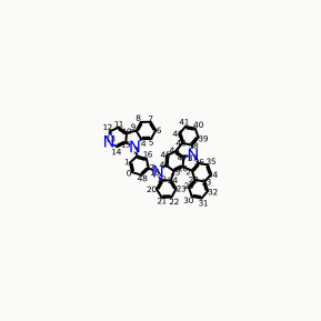 c1cc(-n2c3ccccc3c3ccncc32)cc(-n2c3ccccc3c3c4c5c6ccccc6ccc5n5c6ccccc6c(cc32)c45)c1